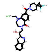 CCN1CCN(C[C@@H](O)[C@@H]2Cc3ccccc3CN2)C(=O)c2ccc(C(=O)N3CCC4(CC3)CC4(F)F)cc21.Cl